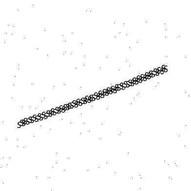 S=S=S=S=S=S=S=S=S=S=S=S=S=S=S=S=S=S=S=S=S=S=S=S=S=S=S=S=S=S=S=S=S=S=S=S=S=S=S=S=S=S=S=S=S=S=S=S=S=S=S=S=S=S=S=S=S=S=S=S=S=S=S=S=S=S=S=S=S